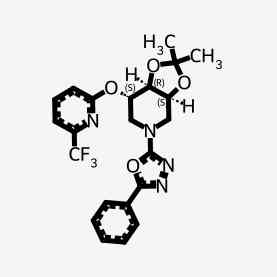 CC1(C)O[C@@H]2[C@@H](Oc3cccc(C(F)(F)F)n3)CN(c3nnc(-c4ccccc4)o3)C[C@@H]2O1